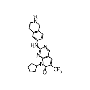 O=c1c(C(F)(F)F)cc2cnc(Nc3ccc4c(c3)CCNC4)nc2n1C1CCCC1